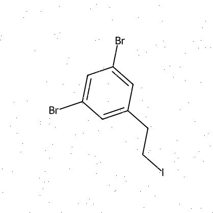 Brc1cc(Br)cc(CCI)c1